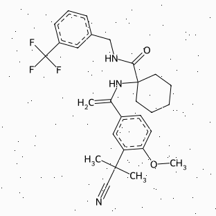 C=C(NC1(C(=O)NCc2cccc(C(F)(F)F)c2)CCCCC1)c1ccc(OC)c(C(C)(C)C#N)c1